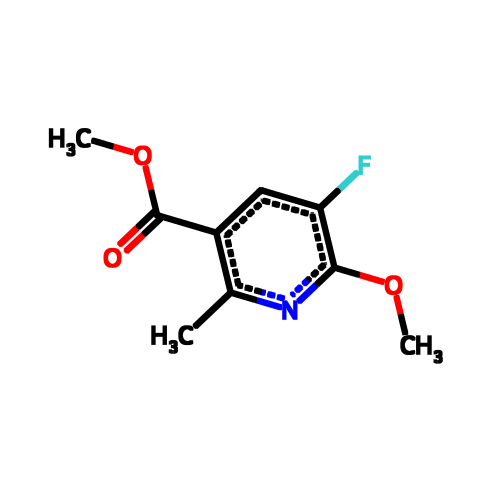 COC(=O)c1cc(F)c(OC)nc1C